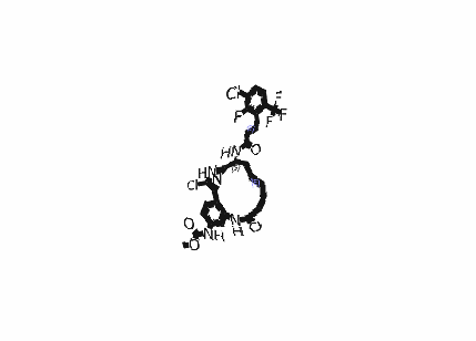 COC(=O)Nc1ccc2c(c1)NC(=O)CC/C=C/C[C@H](NC(=O)/C=C/c1c(C(F)(F)F)ccc(Cl)c1F)c1nc-2c(Cl)[nH]1